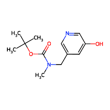 CN(Cc1cncc(O)c1)C(=O)OC(C)(C)C